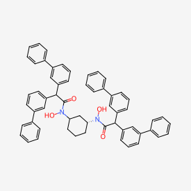 O=C(C(c1cccc(-c2ccccc2)c1)c1cccc(-c2ccccc2)c1)N(O)C1CCC[C@@H](N(O)C(=O)C(c2cccc(-c3ccccc3)c2)c2cccc(-c3ccccc3)c2)C1